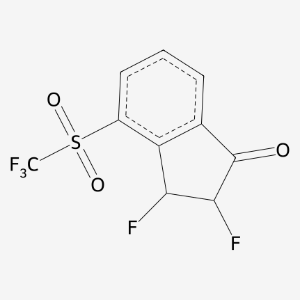 O=C1c2cccc(S(=O)(=O)C(F)(F)F)c2C(F)C1F